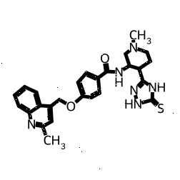 Cc1cc(COc2ccc(C(=O)NC3CN(C)CCC3c3n[nH]c(=S)[nH]3)cc2)c2ccccc2n1